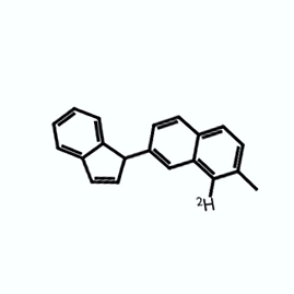 [2H]c1c(C)ccc2ccc(C3C=Cc4ccccc43)cc12